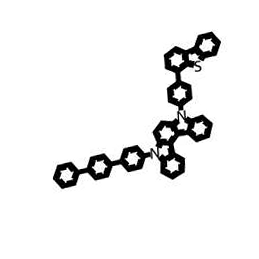 c1ccc(-c2ccc(-c3ccc(-n4c5ccccc5c5c6c7ccccc7n(-c7ccc(-c8cccc9c8sc8ccccc89)cc7)c6ccc54)cc3)cc2)cc1